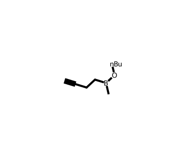 C#CCCB(C)OCCCC